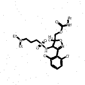 CCN(CC)CCCS(=O)(=O)NC1C(c2c(Cl)cccc2Cl)=NOC1(C)COC(=O)NC(C)C